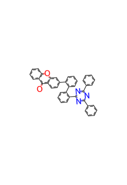 O=c1c2ccccc2oc2cc(-c3ccccc3-c3ccccc3-c3nc(-c4ccccc4)nc(-c4ccccc4)n3)ccc12